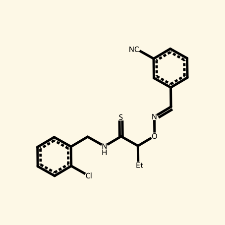 CCC(ON=Cc1cccc(C#N)c1)C(=S)NCc1ccccc1Cl